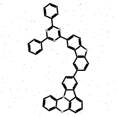 c1ccc(-c2nc(-c3ccccc3)nc(-c3ccc4sc5ccc(-c6ccc7c(c6)c6cccc8c6n7-c6ccccc6O8)cc5c4c3)n2)cc1